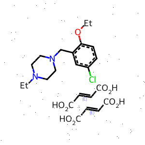 CCOc1ccc(Cl)cc1CN1CCN(CC)CC1.O=C(O)/C=C/C(=O)O.O=C(O)/C=C/C(=O)O